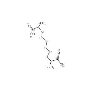 CC(CSCCSCC(C)C(=O)O)C(=O)O